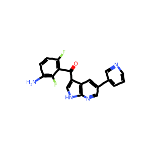 Nc1ccc(F)c(C(=O)c2c[nH]c3ncc(-c4cccnc4)cc23)c1F